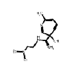 C=C(NCCN(CC)CC)C1(C)C=CC=C(C)N=C1